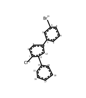 Clc1ccc(-c2cccc(Br)c2)cc1-c1ccccc1